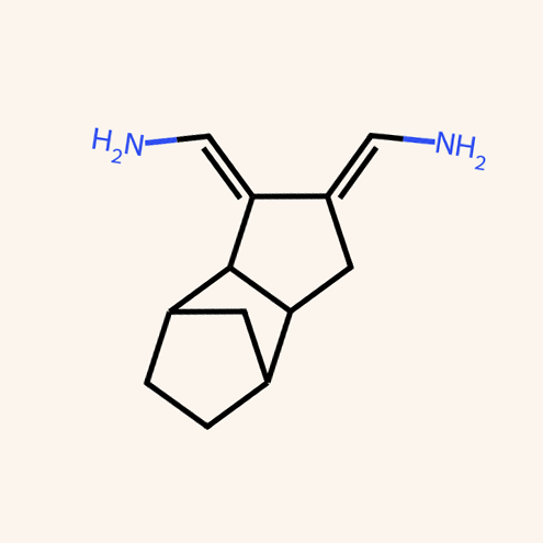 NC=C1CC2C3CCC(C3)C2C1=CN